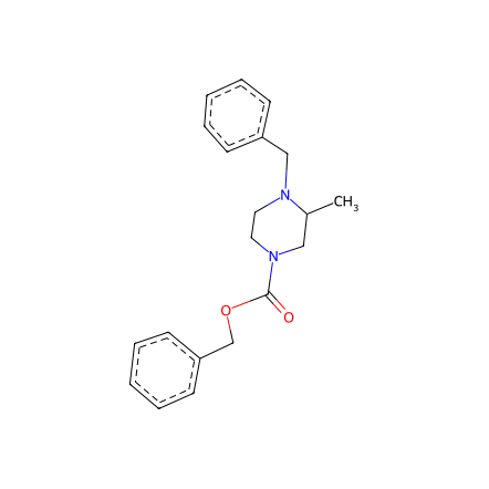 CC1CN(C(=O)OCc2ccccc2)CCN1Cc1ccccc1